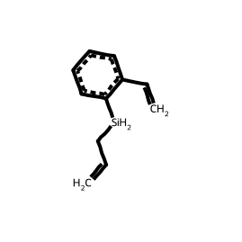 C=CC[SiH2]c1ccccc1C=C